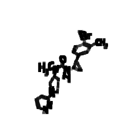 Cc1cc([C@H]2C[C@@H]2NC(=O)N(C)[C@H]2CCN(c3cccnn3)C2)ccc1Br